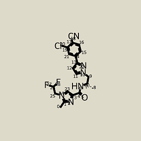 Cc1nc(C(=O)N[C@@H](C)Cn2ccc(-c3ccc(C#N)c(Cl)c3)n2)cn1CC(F)F